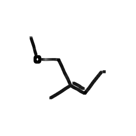 [CH2]C=C(C)COC